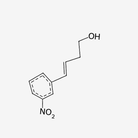 O=[N+]([O-])c1cccc(/C=C/CCO)c1